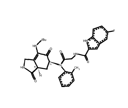 Cc1ccccc1N(C(=O)CNC(=O)c1cc2cc(F)ccc2[nH]1)[C@H]1C[C@H]2C(=O)NCC2=C(NC(C)(C)C)C1=O